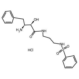 Cl.N[C@@H](Cc1ccccc1)[C@@H](O)C(=O)NCCCNS(=O)(=O)c1ccccc1